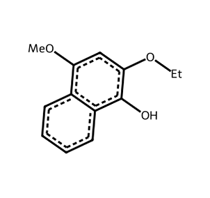 CCOc1cc(OC)c2ccccc2c1O